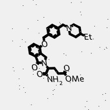 CCC1CCN(Cc2ccc(COc3cccc4c3CN(C(CCC(=O)OC)C(N)=O)C4=O)cc2)CC1